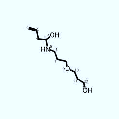 C=CCC(O)NCCCOCCCO